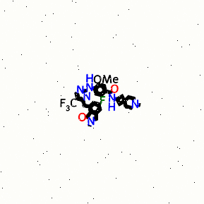 COc1cc(C(=O)NC2CC3(CCN(C)CC3)C2)c(F)cc1Nc1ncc(C(F)(F)F)c(Cc2cccc3c2C(=O)N(C)C3)n1